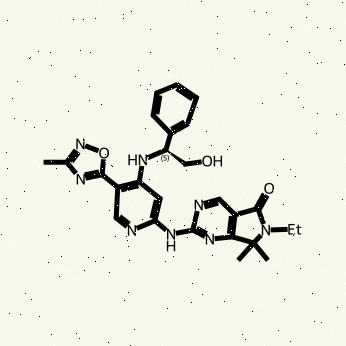 CCN1C(=O)c2cnc(Nc3cc(N[C@H](CO)c4ccccc4)c(-c4nc(C)no4)cn3)nc2C1(C)C